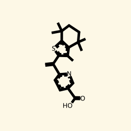 C=C(c1ccc(C(=O)O)cn1)c1sc2c(c1C)C(C)(C)CCC2(C)C